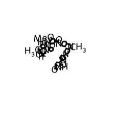 COc1cc(C(=O)NC2CCC(CN(C)C3CCN(c4ccc(C5CCC(=O)NC5=O)nc4)CC3)CC2)ccc1Nc1ncc2c(n1)N(C1CCCC1)CC(F)(F)C(=O)N2C